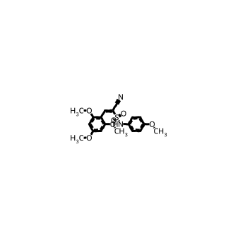 COc1ccc(NS(=O)(=O)/C(C#N)=C\c2c(OC)cc(OC)cc2OC)cc1